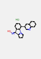 Cl.O/N=C1\c2cccc(-c3cnc4ccccc4c3)c2-n2cccc21